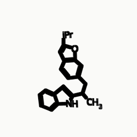 CC(C)c1cc2ccc(CC(C)c3cc4ccccc4[nH]3)cc2o1